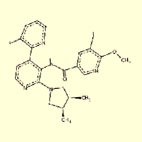 COc1ncc(C(=O)Nc2c(-c3ncccc3F)ccnc2N2C[C@@H](C)[C@@H](C)C2)cc1F